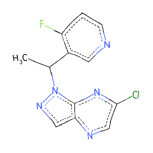 CC(c1cnccc1F)n1ncc2ncc(Cl)nc21